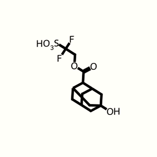 O=C(OCC(F)(F)S(=O)(=O)O)C1C2CC3CC1CC(O)(C3)C2